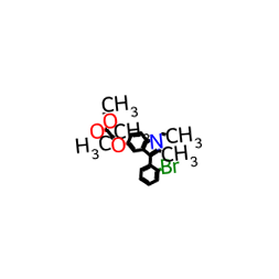 CCOC(=O)C(C)(C)Oc1ccc2c(c1)c(-c1ccccc1Br)c(C)n2CC